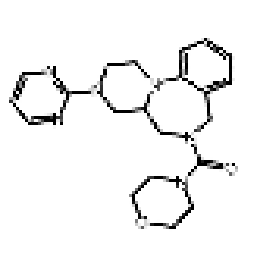 O=C(N1CCOCC1)N1Cc2ccccc2N2CCN(c3ncccn3)CC2C1